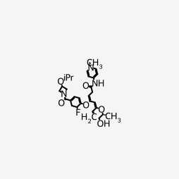 C=C/C(=C\C(=C/CC(=O)NC1=C=CN(C)C=C1)OC1=CC=C(C(=O)N2CC(OC(C)C)C2)CC1F)O[C@@H](C)CO